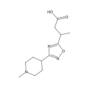 CC(CC(=O)O)c1nc(C2CCN(C)CC2)no1